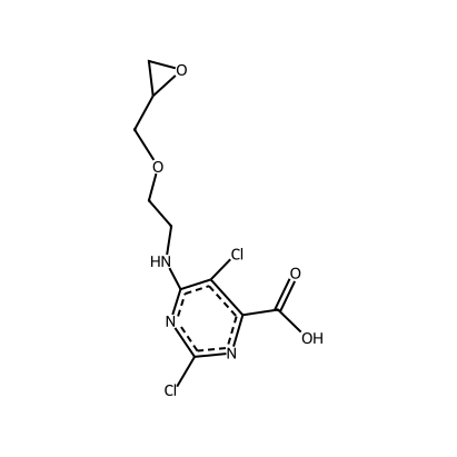 O=C(O)c1nc(Cl)nc(NCCOCC2CO2)c1Cl